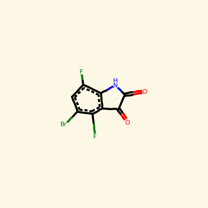 O=C1Nc2c(F)cc(Br)c(F)c2C1=O